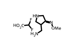 CON=C1CNCC1CN.O=C(O)C(F)F